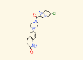 O=C1CCc2cc(N3CCN(C(=O)c4cn5cc(Cl)ccc5n4)CC3)ccc2N1